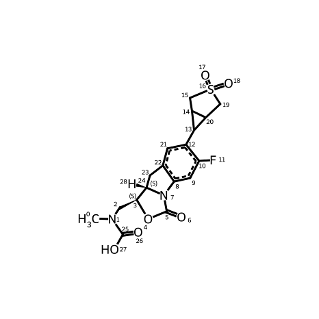 CN(C[C@@H]1OC(=O)N2c3cc(F)c(C4C5CS(=O)(=O)CC54)cc3C[C@@H]12)C(=O)O